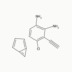 C#Cc1c(Cl)ccc(N)c1N.c1cc2cc-2c1